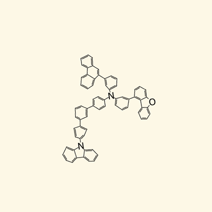 c1cc(-c2ccc(N(c3cccc(-c4cc5ccccc5c5ccccc45)c3)c3cccc(-c4cccc5oc6ccccc6c45)c3)cc2)cc(-c2ccc(-n3c4ccccc4c4ccccc43)cc2)c1